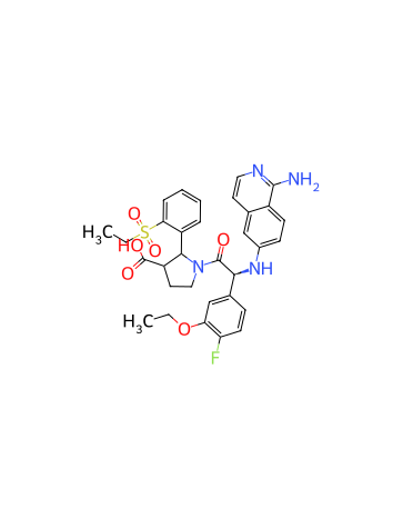 CCOc1cc([C@H](Nc2ccc3c(N)nccc3c2)C(=O)N2CCC(C(=O)O)C2c2ccccc2S(=O)(=O)CC)ccc1F